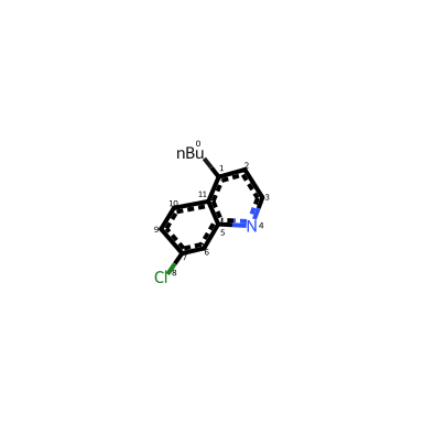 CCCCc1ccnc2cc(Cl)ccc12